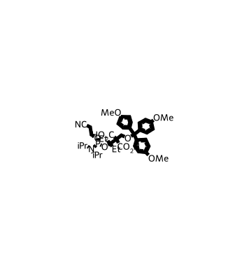 CCC(CC)(OP(OCCC#N)N(C(C)C)C(C)C)C(COC(c1ccc(OC)cc1)(c1ccc(OC)cc1)c1ccc(OC)cc1)(C(=O)O)C(=O)O